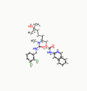 CN(C(=O)NCc1cccc(Cl)c1Cl)[C@@H](CCCC(C)(C)O)COC(=O)Nc1cc2ccccc2cn1